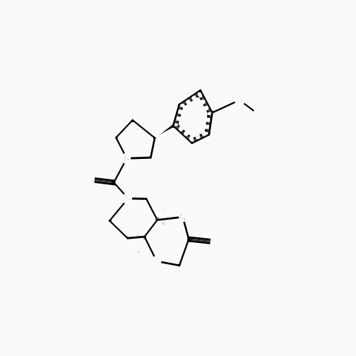 O=C1CO[C@H]2CCN(C(=O)N3CC[C@@H](c4ccc(OC(F)(F)F)cc4)C3)C[C@H]2N1